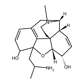 CC(N)CC12O[C@H]3[C@@H](O)C=C[C@H]4[C@H]5CC(=C1[C@]43CCN5C)C=CC2O